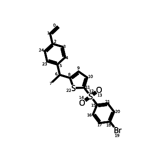 C=Cc1ccc(C(C)c2ccc(S(=O)(=O)c3ccc(Br)cc3)s2)cc1